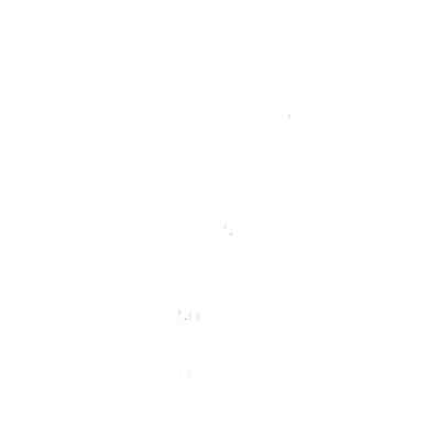 C/C=C/C(=O)SCCNC(=O)CCNC(=O)[C@@H]1OP(=O)(O)OCC1(C)C